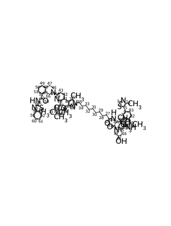 Cc1ncsc1-c1ccc([C@H](C)NC(=O)[C@@H]2C[C@@H](O)CN2C(=O)[C@@H](NC(=O)CCCCCCCCCn2nc(C)c(-c3ccc(N4CCc5cccc(C(=O)Nc6nc7ccccc7s6)c5C4)nc3C(=O)OC(C)(C)C)c2C)C(C)(C)C)cc1